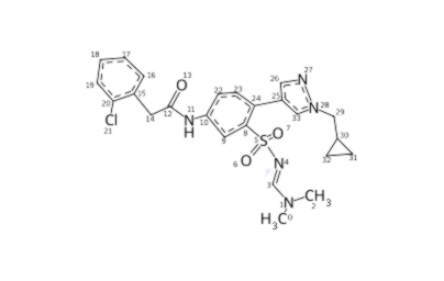 CN(C)/C=N/S(=O)(=O)c1cc(NC(=O)Cc2ccccc2Cl)ccc1-c1cnn(CC2CC2)c1